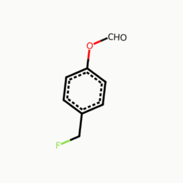 O=COc1ccc(CF)cc1